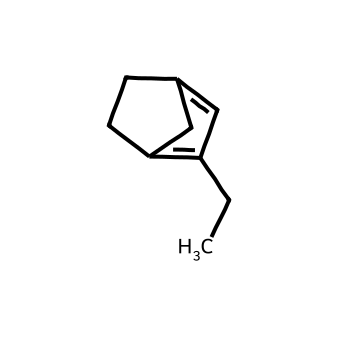 CCC1=C2CCC(=C1)C2